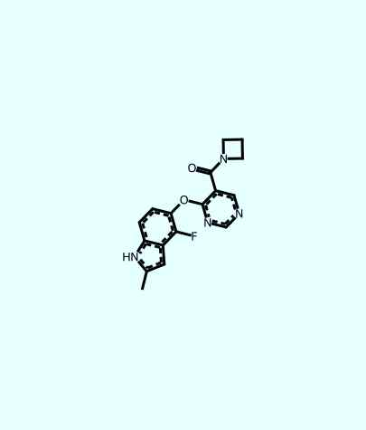 Cc1cc2c(F)c(Oc3ncncc3C(=O)N3CCC3)ccc2[nH]1